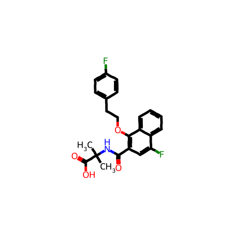 CC(C)(NC(=O)c1cc(F)c2ccccc2c1OCCc1ccc(F)cc1)C(=O)O